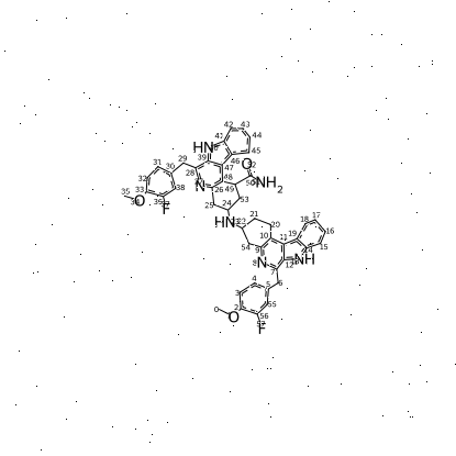 COc1ccc(Cc2nc3c(c4c2[nH]c2ccccc24)CCC(NC2Cc4nc(Cc5ccc(OC)c(F)c5)c5[nH]c6ccccc6c5c4C(C(N)=O)C2)C3)cc1F